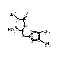 Cc1nn(CC(NC(=O)OC(C)(C)C)C(=O)O)cc1N